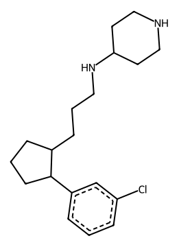 Clc1cccc(C2CCCC2CCCNC2CCNCC2)c1